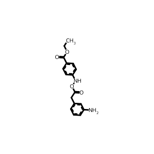 CCOC(=O)c1ccc(NOC(=O)Cc2cccc(N)c2)cc1